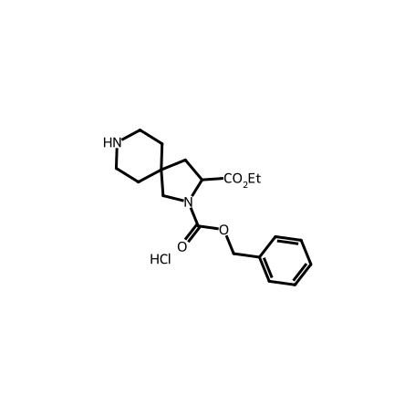 CCOC(=O)C1CC2(CCNCC2)CN1C(=O)OCc1ccccc1.Cl